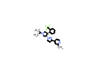 Cc1cc(-c2ccn([C@@H]3CN(C(C)C)C[C@H]3c3ccccc3C(F)(F)F)n2)ccn1